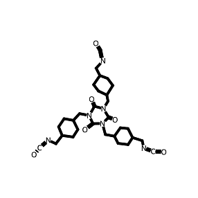 O=C=NCC1CCC(Cn2c(=O)n(CC3CCC(CN=C=O)CC3)c(=O)n(CC3CCC(CN=C=O)CC3)c2=O)CC1